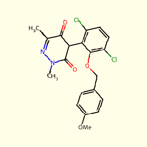 COc1ccc(COc2c(Cl)ccc(Cl)c2C2C(=O)C(C)=NN(C)C2=O)cc1